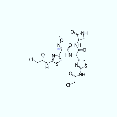 CO/N=C(\C(=O)NC(C(=O)NC1CNC1=O)c1csc(NC(=O)CCl)n1)c1csc(NC(=O)CCl)n1